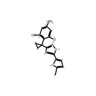 Cc1ccc(-c2nc(C3(c4c(Cl)cc(N)cc4Cl)CC3)no2)s1